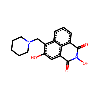 O=C1c2cccc3c(CN4CCCCC4)c(O)cc(c23)C(=O)N1O